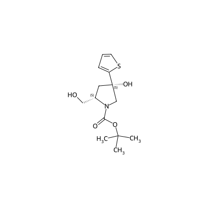 CC(C)(C)OC(=O)N1C[C@](O)(c2cccs2)C[C@H]1CO